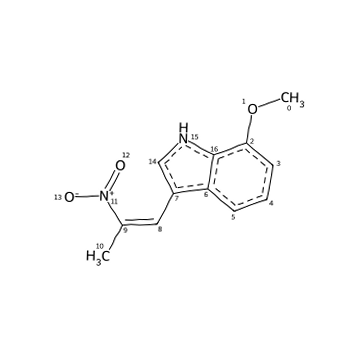 COc1cccc2c(C=C(C)[N+](=O)[O-])c[nH]c12